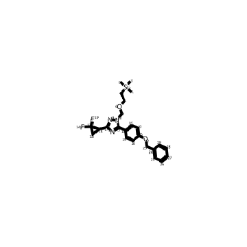 C[Si](C)(C)CCOCn1nc(C2CC2(F)F)nc1-c1ccc(OCc2ccccc2)cc1